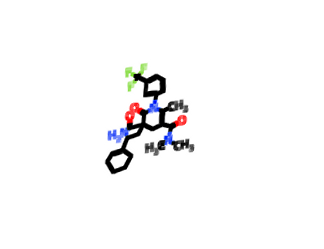 CC1=C(C(=O)N(C)C)CC(CCC2=CCCCC2)(C(N)=O)C(=O)N1c1cccc(C(F)(F)F)c1